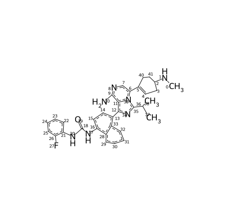 CNC1CC=C(c2cnc(N)c3c(-c4ccc(NC(=O)Nc5ccccc5F)c5ccccc45)nc(C(C)C)n23)CC1